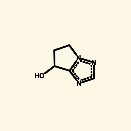 OC1CCn2ncnc21